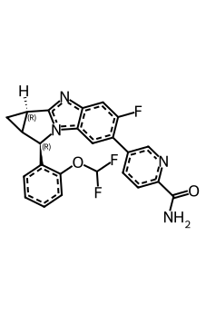 NC(=O)c1ccc(-c2cc3c(cc2F)nc2n3[C@@H](c3ccccc3OC(F)F)C3C[C@@H]23)cn1